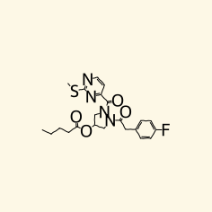 CCCCC(=O)OC1CN(C(=O)Cc2ccc(F)cc2)N(C(=O)c2ccnc(SC)n2)C1